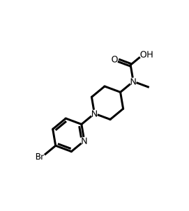 CN(C(=O)O)C1CCN(c2ccc(Br)cn2)CC1